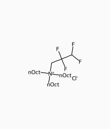 CCCCCCCC[N+](CCCCCCCC)(CCCCCCCC)CC(F)(F)C(F)F.[Cl-]